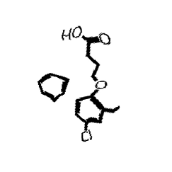 Cc1cc(Cl)ccc1OCCCC(=O)O.c1ccccc1